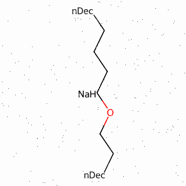 CCCCCCCCCCCCCCOCCCCCCCCCCCC.[NaH]